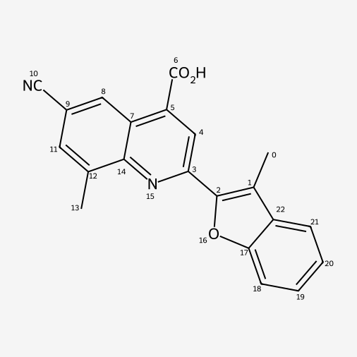 Cc1c(-c2cc(C(=O)O)c3cc(C#N)cc(C)c3n2)oc2ccccc12